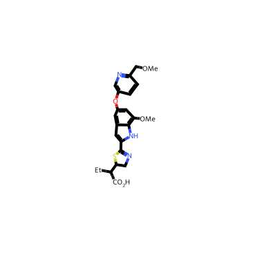 CCC(C(=O)O)C1CN=C(c2cc3cc(Oc4ccc(COC)nc4)cc(OC)c3[nH]2)S1